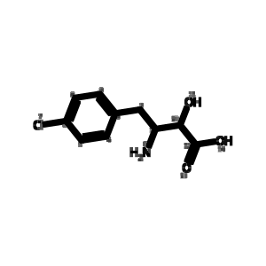 NC(Cc1ccc(Cl)cc1)C(O)C(=O)O